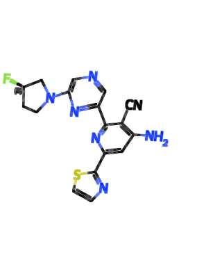 N#Cc1c(N)cc(-c2nccs2)nc1-c1cncc(N2CC[C@@H](F)C2)n1